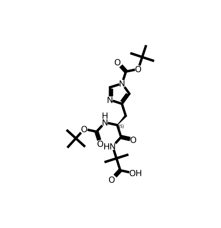 CC(C)(C)OC(=O)N[C@@H](Cc1cn(C(=O)OC(C)(C)C)cn1)C(=O)NC(C)(C)C(=O)O